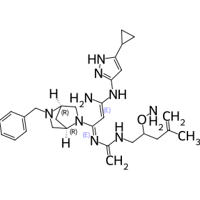 C=C(C)CC(CNC(=C)/N=C(\C=C(/N)Nc1cc(C2CC2)[nH]n1)N1C[C@H]2C[C@@H]1CN2Cc1ccccc1)ON